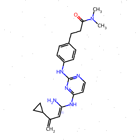 C=C(/C=C(\N)Nc1ccnc(Nc2ccc(CCC(=O)N(C)C)cc2)n1)C1CC1